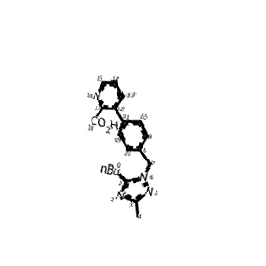 CCCCc1nc(C)nn1Cc1ccc(-c2cccnc2C(=O)O)cc1